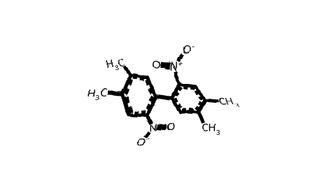 Cc1cc(-c2cc(C)c(C)cc2[N+](=O)[O-])c([N+](=O)[O-])cc1C